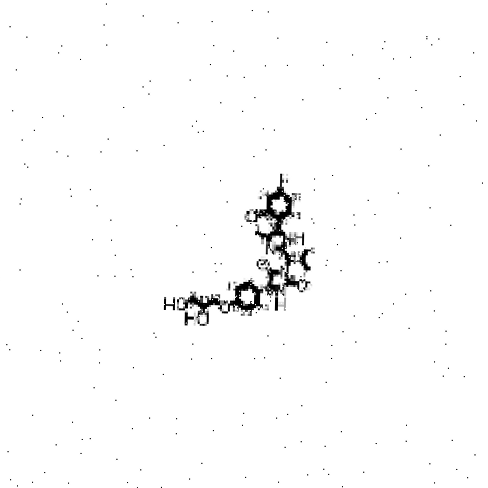 Cc1nc([C@H](C(C)C)N2C(=O)N[C@H](c3ccc(OC[C@H](O)CO)cc3)C2=O)[nH]c1-c1ccc(I)cc1Cl